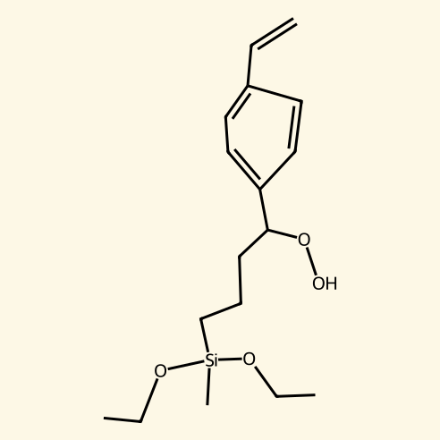 C=Cc1ccc(C(CCC[Si](C)(OCC)OCC)OO)cc1